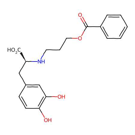 O=C(OCCCN[C@@H](Cc1ccc(O)c(O)c1)C(=O)O)c1ccccc1